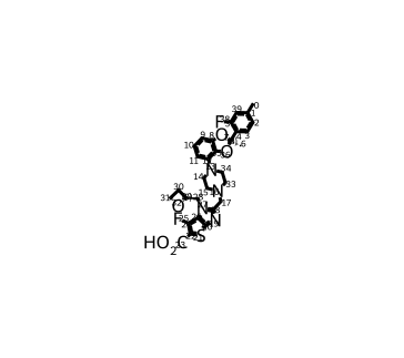 Cc1ccc([C@]2(C)Oc3cccc(N4CCN(Cc5nc6sc(C(=O)O)c(F)c6n5C[C@@H]5CCO5)CC4)c3O2)c(F)c1